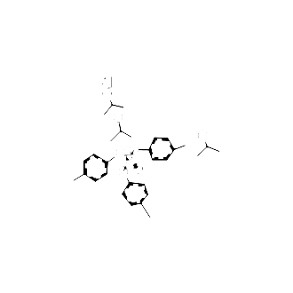 CC(C)[O-].CC(C)[O-].CC(C)[O-].Cc1ccc(OP(=O)(Oc2ccc(C)cc2)Oc2ccc(C)cc2)cc1.[Al+3]